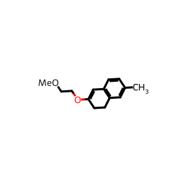 COCCOC1=Cc2ccc(C)cc2CC1